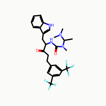 CC(N(C)C)N(C)C(=O)NC(Cc1c[nH]c2ccccc12)C(=O)CCc1cc(C(F)(F)F)cc(C(F)(F)F)c1